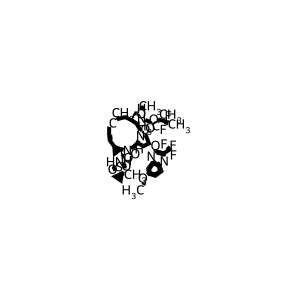 CCOc1ccc2nc(C(F)(F)F)c(O[C@@H]3C[C@H]4C(=O)N[C@]5(C(=O)NS(=O)(=O)C6(C)CC6)CC5/C=C\CC[C@@H](C)C[C@@H](COC)[C@H](NC(=O)OC(C)(C)C(C)(F)F)C(=O)N4C3)nc2c1